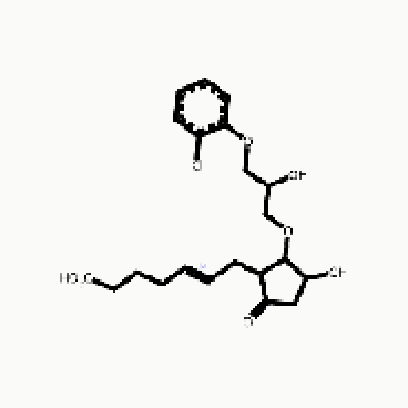 O=C(O)CCC/C=C/CC1C(=O)CC(O)C1OCC(O)COc1ccccc1Cl